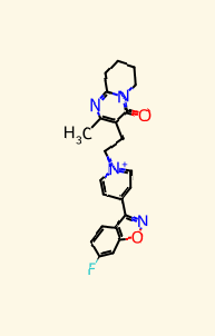 Cc1nc2n(c(=O)c1CC[n+]1ccc(-c3noc4cc(F)ccc34)cc1)CCCC2